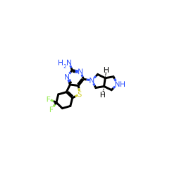 Nc1nc(N2C[C@H]3CNC[C@H]3C2)c2sc3c(c2n1)CC(F)(F)CC3